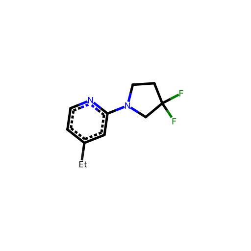 CCc1ccnc(N2CCC(F)(F)C2)c1